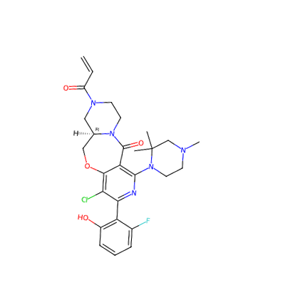 C=CC(=O)N1CCN2C(=O)c3c(N4CCN(C)CC4(C)C)nc(-c4c(O)cccc4F)c(Cl)c3OC[C@H]2C1